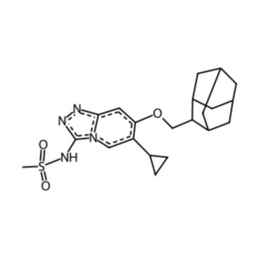 CS(=O)(=O)Nc1nnc2cc(OCC3C4CC5CC(C4)CC3C5)c(C3CC3)cn12